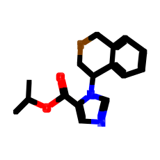 CC(C)OC(=O)c1cncn1C1CSCc2ccccc21